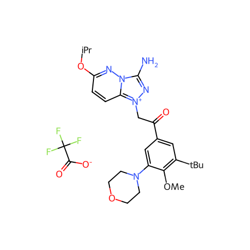 COc1c(N2CCOCC2)cc(C(=O)C[n+]2nc(N)n3nc(OC(C)C)ccc32)cc1C(C)(C)C.O=C([O-])C(F)(F)F